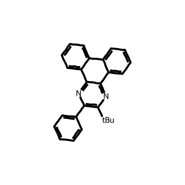 CC(C)(C)c1nc2c3ccccc3c3ccccc3c2nc1-c1ccccc1